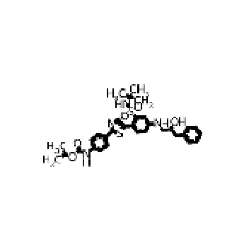 CC(C)OC(=O)Nc1ccc(-c2ncc(-c3ccc(NCC(O)Cc4ccccc4)cc3S(=O)(=O)NC(C)(C)C)s2)cc1